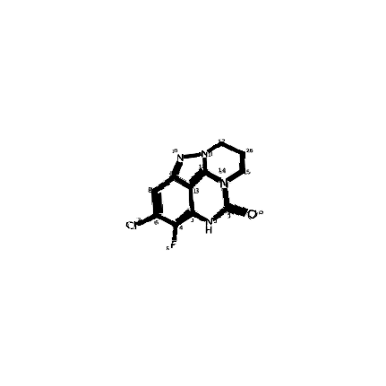 O=C1Nc2c(F)c(Cl)cc3nn4c(c23)N1CCC4